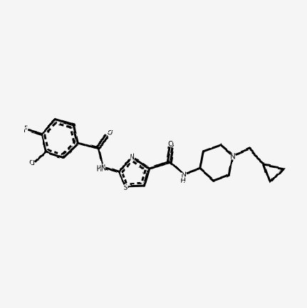 O=C(Nc1nc(C(=O)NC2CCN(CC3CC3)CC2)cs1)c1ccc(F)c(Cl)c1